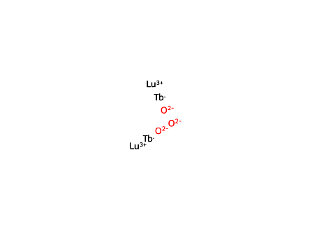 [Lu+3].[Lu+3].[O-2].[O-2].[O-2].[Tb].[Tb]